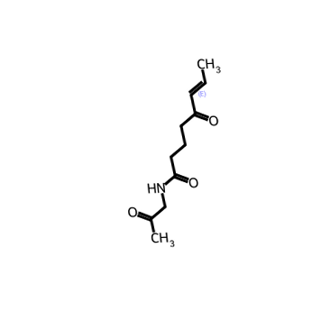 C/C=C/C(=O)CCCC(=O)NCC(C)=O